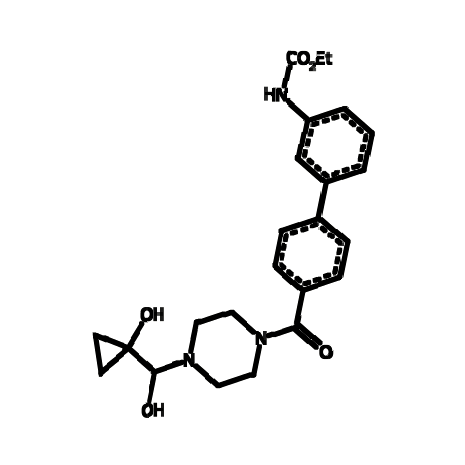 CCOC(=O)Nc1cccc(-c2ccc(C(=O)N3CCN(C(O)C4(O)CC4)CC3)cc2)c1